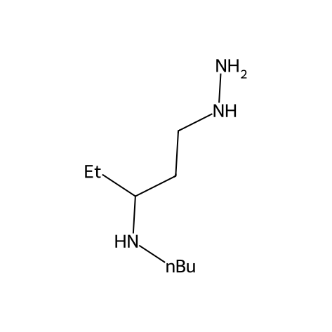 CCCCNC(CC)CCNN